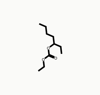 CCCCC(CC)OC(=O)OCC